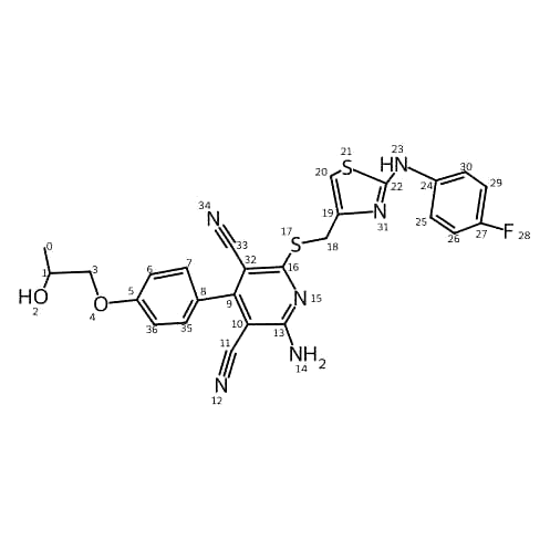 CC(O)COc1ccc(-c2c(C#N)c(N)nc(SCc3csc(Nc4ccc(F)cc4)n3)c2C#N)cc1